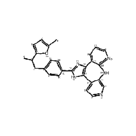 Cc1ccc(C(C)Cc2ccc(-c3nc4c([nH]3)-c3ccncc3Nc3ncccc3-4)cc2)o1